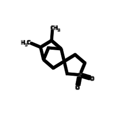 CC1C2CC(C1C)C1(CCS(=O)(=O)C1)C2